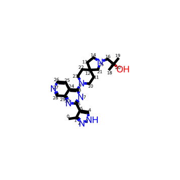 Cc1n[nH]cc1-c1nc(N2CCC3(CCN(CC(C)(C)O)C3)CC2)c2ccncc2n1